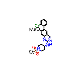 CCS(=O)(=O)N1CCC(Nc2ncc3cc(-c4ccccc4Cl)c(OC)cc3n2)CC1